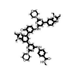 CNC(=O)c1ccc(Nc2cc(-c3cc(-c4cc(Nc5cc(-c6ccc7nc(C)n(C)c7c6)nc(N6CCOCC6)n5)ccc4Cl)c4nc(C)n(C)c4c3)nc(N3CCOCC3)n2)cc1